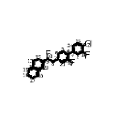 Fc1cc(-c2ccc(CC(F)c3ccc4ccccc4c3)cc2F)ccc1Cl